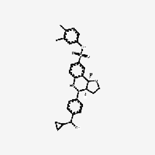 Cc1ccc(NS(=O)(=O)c2ccc3c(c2)[C@H]2OCC[C@H]2C(c2ccc(C(O)C4CC4)cc2)N3)cc1C